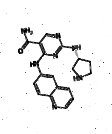 NC(=O)c1cnc(N[C@@H]2CCNC2)nc1Nc1ccc2ncccc2c1